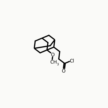 COC12CC3CC(CC(C3)C1CCC(=O)Cl)C2